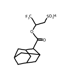 O=C(OC(CS(=O)(=O)O)C(F)(F)F)C1C2CC3CC(C2)CC1C3